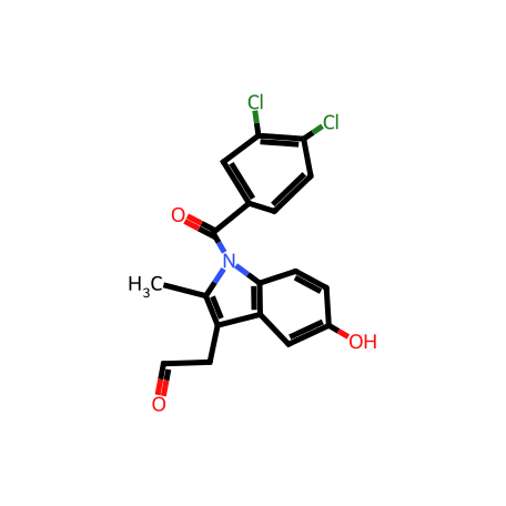 Cc1c(CC=O)c2cc(O)ccc2n1C(=O)c1ccc(Cl)c(Cl)c1